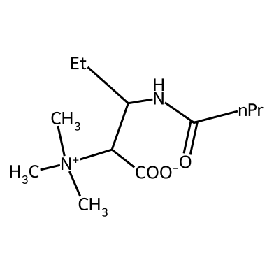 CCCC(=O)NC(CC)C(C(=O)[O-])[N+](C)(C)C